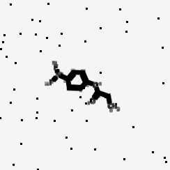 CCC(=O)Oc1ccc(N(F)F)cc1